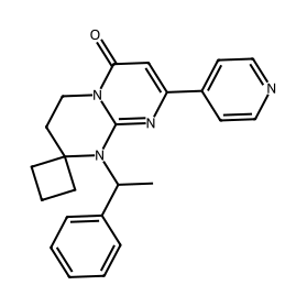 CC(c1ccccc1)N1c2nc(-c3ccncc3)cc(=O)n2CCC12CCC2